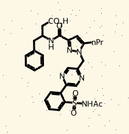 CCCc1cc(C(=O)NC(CC(=O)O)Cc2ccccc2)nn1Cc1cnc(-c2ccccc2S(=O)(=O)NC(C)=O)cn1